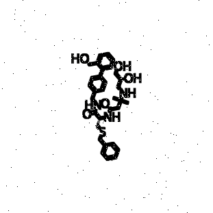 CC(C)(CC(=O)N[C@H](CSCc1ccccc1)C(=O)NCc1ccc(-c2ccccc2CO)cc1)NC[C@H](O)CO